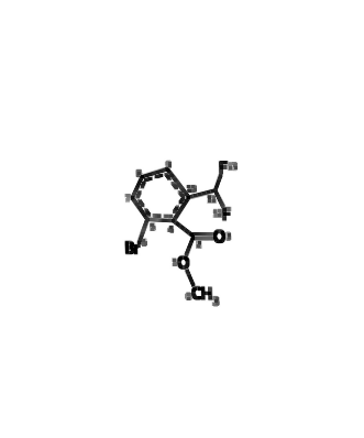 COC(=O)c1c(Br)cccc1C(F)F